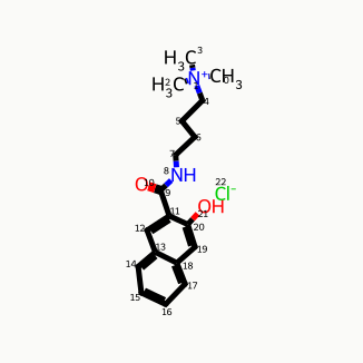 C[N+](C)(C)CCCCNC(=O)c1cc2ccccc2cc1O.[Cl-]